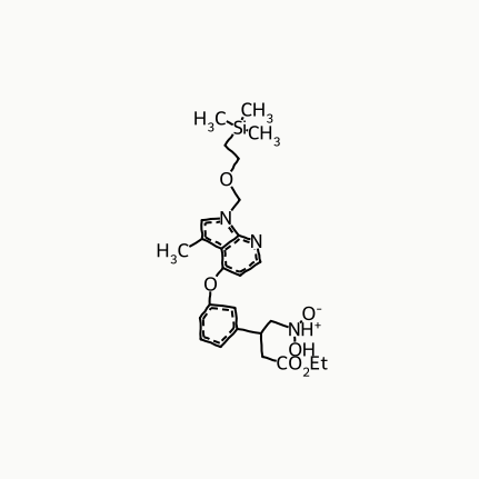 CCOC(=O)CC(C[NH+]([O-])O)c1cccc(Oc2ccnc3c2c(C)cn3COCC[Si](C)(C)C)c1